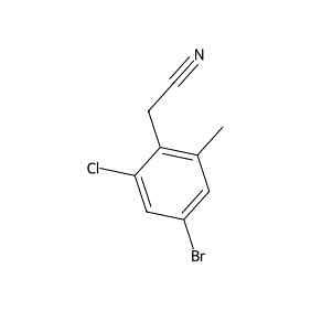 Cc1cc(Br)cc(Cl)c1CC#N